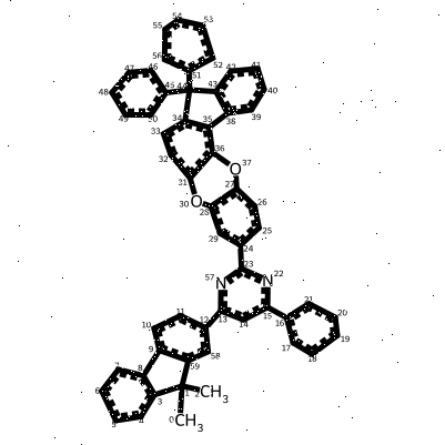 CC1(C)c2ccccc2-c2ccc(-c3cc(-c4ccccc4)nc(-c4ccc5c(c4)Oc4ccc6c(c4O5)-c4ccccc4C6(c4ccccc4)c4ccccc4)n3)cc21